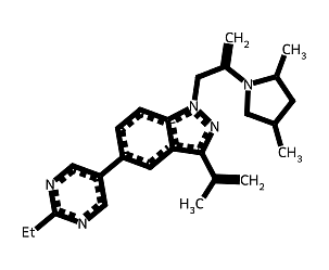 C=C(C)c1nn(CC(=C)N2CC(C)CC2C)c2ccc(-c3cnc(CC)nc3)cc12